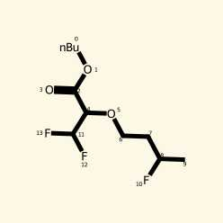 CCCCOC(=O)C(OCCC(C)F)C(F)F